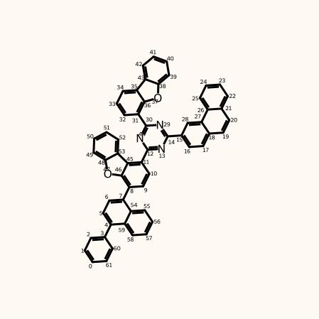 c1ccc(-c2ccc(-c3ccc(-c4nc(-c5ccc6ccc7ccccc7c6c5)nc(-c5cccc6c5oc5ccccc56)n4)c4c3oc3ccccc34)c3ccccc23)cc1